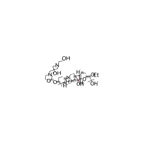 CCO[C@@H]([C@H]1C[C@@H](C)[C@H]2[C@H](O1)[C@H](O)[C@@]1(C)[C@@H]3CC[C@H]4C(C)(C)[C@@H](O[C@H]5CN(CC6(O)CN(CCO)C6)CCO5)CC[C@@]45C[C@@]35CC[C@]21C)C(C)(C)O